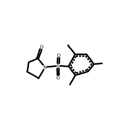 Cc1cc(C)c(S(=O)(=O)N2CCCC2=O)c(C)c1